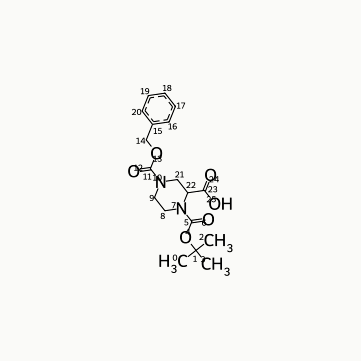 CC(C)(C)OC(=O)N1CCN(C(=O)OCc2ccccc2)CC1C(=O)O